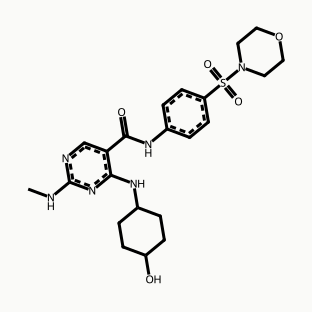 CNc1ncc(C(=O)Nc2ccc(S(=O)(=O)N3CCOCC3)cc2)c(NC2CCC(O)CC2)n1